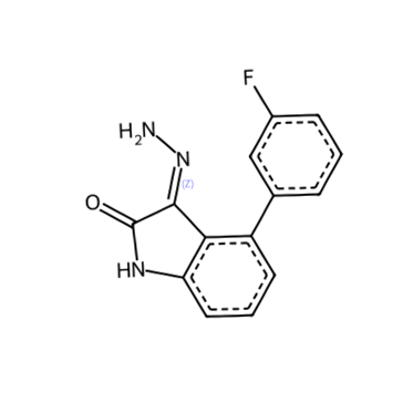 N/N=C1\C(=O)Nc2cccc(-c3cccc(F)c3)c21